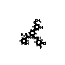 COC1CNC=C(C2CCC(NC(N)C3=CCCNC3)=C(CN[C@H]3CCC(F)=C(Cl)C3)C2)C1